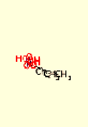 CCCCC/C(C)=C/CC/C(C)=C/COCP(=O)(O)CP(=O)(O)O